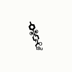 Cc1ccc(S(=O)(=O)N2CCN(C(=O)CC(C)(C)C)CC2)cc1